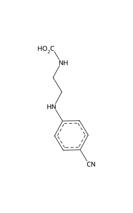 N#Cc1ccc(NCCNC(=O)O)cc1